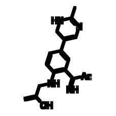 C=C(O)CNc1ccc(C2=CN=C(C)NC2)cc1C(=N)C(C)=O